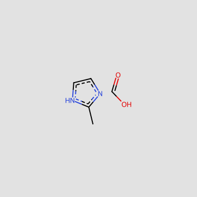 Cc1ncc[nH]1.O=CO